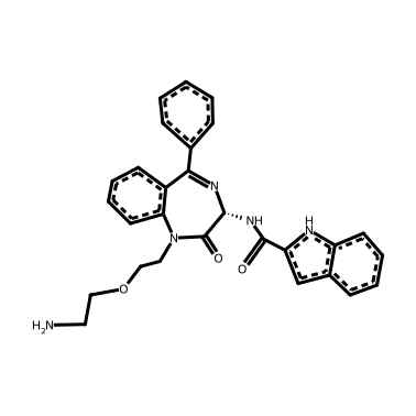 NCCOCCN1C(=O)[C@@H](NC(=O)c2cc3ccccc3[nH]2)N=C(c2ccccc2)c2ccccc21